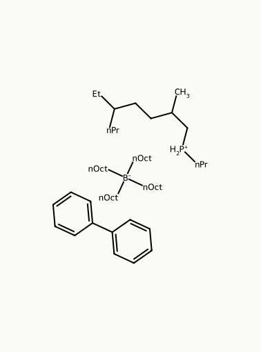 CCCCCCCC[B-](CCCCCCCC)(CCCCCCCC)CCCCCCCC.CCC[PH2+]CC(C)CCC(CC)CCC.c1ccc(-c2ccccc2)cc1